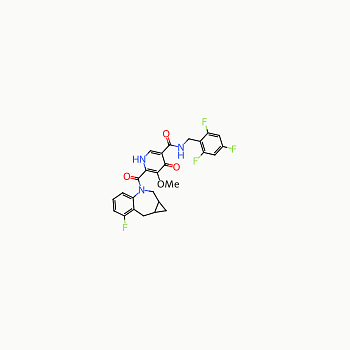 COc1c(C(=O)N2CC3CC3Cc3c(F)cccc32)[nH]cc(C(=O)NCc2c(F)cc(F)cc2F)c1=O